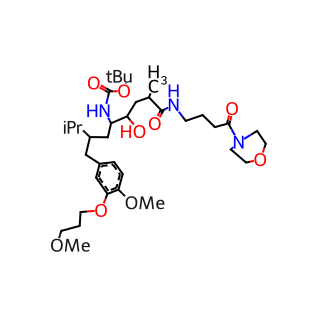 COCCCOc1cc(CC(CC(NC(=O)OC(C)(C)C)C(O)CC(C)C(=O)NCCCC(=O)N2CCOCC2)C(C)C)ccc1OC